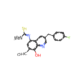 CN/C(S)=N\c1cc(C=O)c(O)c2ncc(Cc3ccc(F)cc3)cc12